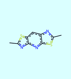 Cc1nc2nc3sc(C)nc3cc2s1